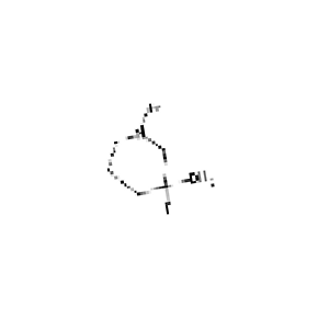 BC1(F)CCCN(C(C)C)C1